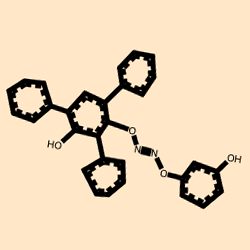 Oc1cccc(ON=NOc2c(-c3ccccc3)cc(-c3ccccc3)c(O)c2-c2ccccc2)c1